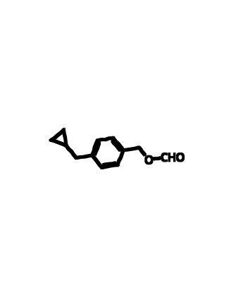 O=COCc1ccc(CC2CC2)cc1